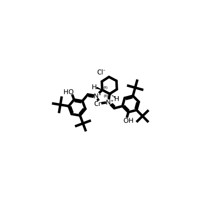 CC(C)(C)c1cc(C=[N+]2[Cr][N+](=Cc3cc(C(C)(C)C)cc(C(C)(C)C)c3O)[C@@H]3CCCC[C@H]32)c(O)c(C(C)(C)C)c1.[Cl-]